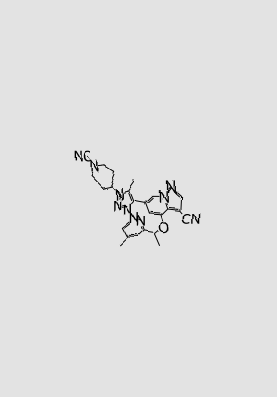 Cc1cnnc(C(C)Oc2cc(-c3nnn(C4CCN(C#N)CC4)c3C)cn3ncc(C#N)c23)c1